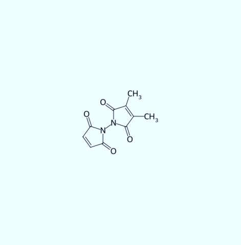 CC1=C(C)C(=O)N(N2C(=O)C=CC2=O)C1=O